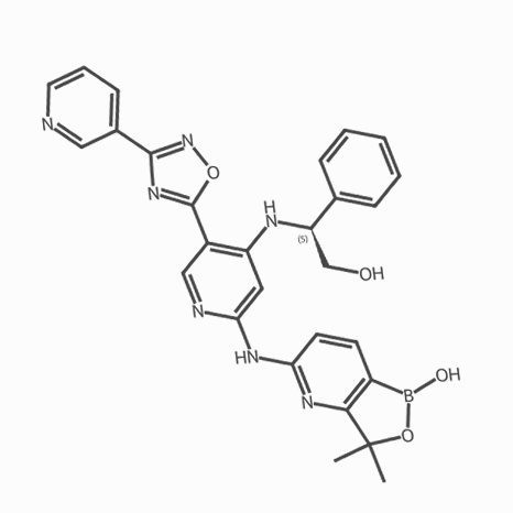 CC1(C)OB(O)c2ccc(Nc3cc(N[C@H](CO)c4ccccc4)c(-c4nc(-c5cccnc5)no4)cn3)nc21